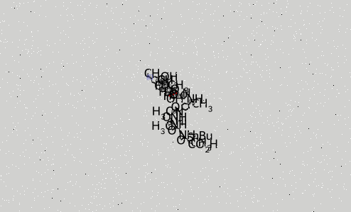 C/C=C1\C=C[C@@]2(C)C(=C1)CC[C@H]1[C@@H]3C[C@H]4O[C@@H](c5ccc(N[C@H](C)c6ccc(NC(=O)[C@H](C)NC(=O)[C@H](C)NC(=O)CCNC(=O)C(CC(=O)O)SC(C)CCCC)cc6)nc5)O[C@@]4(C(=O)CO)[C@@]3(C)C[C@H](O)[C@@]12F